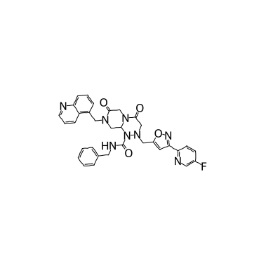 O=C1CN2C(=O)CN(Cc3cc(-c4ccc(F)cn4)no3)N(C(=O)NCc3ccccc3)C2CN1Cc1cccc2ncccc12